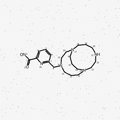 O=NC(=O)c1cccc(CN2CCCN3CCCN(CCCNCC3)CC2)n1